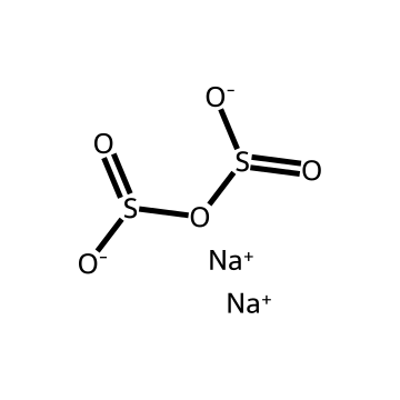 O=S([O-])OS(=O)[O-].[Na+].[Na+]